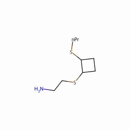 CCCSC1CCC1SCCN